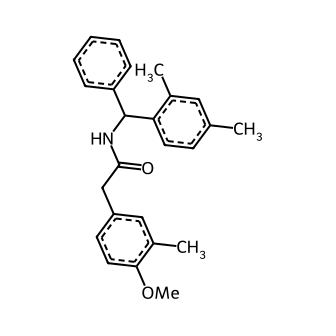 COc1ccc(CC(=O)NC(c2ccccc2)c2ccc(C)cc2C)cc1C